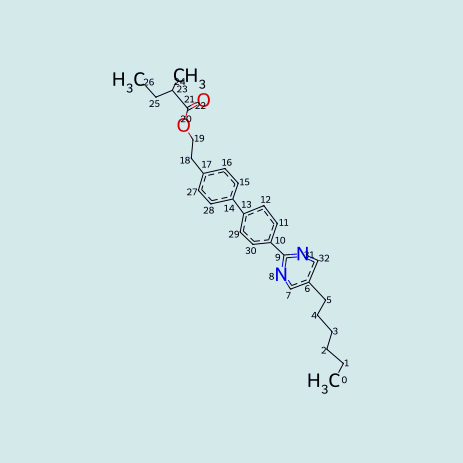 CCCCCCc1cnc(-c2ccc(-c3ccc(CCOC(=O)C(C)CC)cc3)cc2)nc1